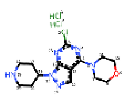 Cl.Cl.Clc1nc(N2CCOCC2)c2cnn(C3CCNCC3)c2n1